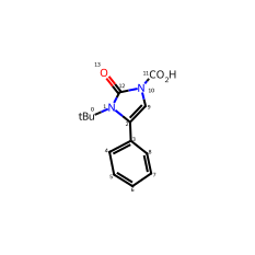 CC(C)(C)n1c(-c2ccccc2)cn(C(=O)O)c1=O